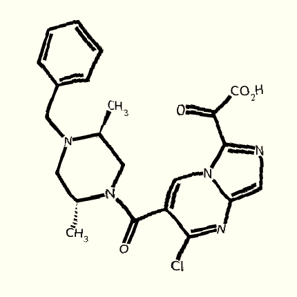 C[C@@H]1CN(Cc2ccccc2)[C@@H](C)CN1C(=O)c1cn2c(C(=O)C(=O)O)ncc2nc1Cl